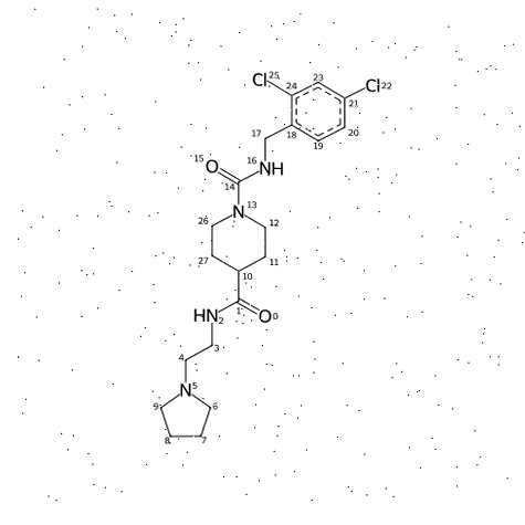 O=C(NCCN1CCCC1)C1CCN(C(=O)NCc2ccc(Cl)cc2Cl)CC1